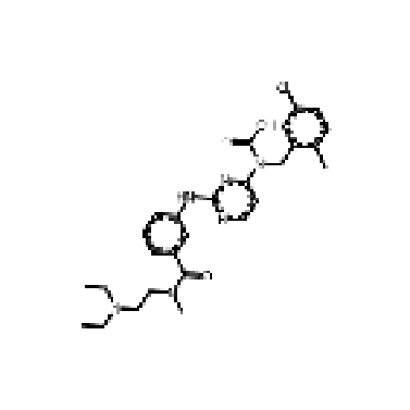 CCN(CC)CCN(C)C(=O)c1cccc(Nc2nccc(N(Cc3cc(Cl)ccc3C)C(=O)O)n2)c1